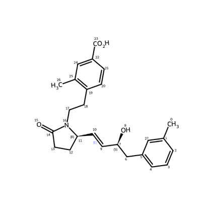 Cc1cccc(C[C@H](O)/C=C/[C@H]2CCC(=O)N2CCc2ccc(C(=O)O)cc2C)c1